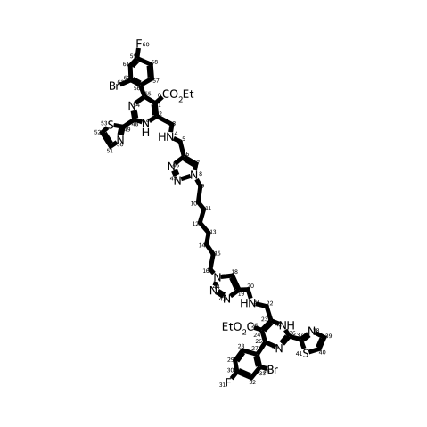 CCOC(=O)C1=C(CNCc2cn(CCCCCCCCn3cc(CNCC4=C(C(=O)OCC)C(c5ccc(F)cc5Br)N=C(c5nccs5)N4)nn3)nn2)NC(c2nccs2)=NC1c1ccc(F)cc1Br